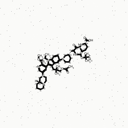 CCn1c(-c2cc(N3CCN4CCCC[C@@H]4C3)cnc2C(C)OC)c(CC(C)(C)COC(C)=O)c2cc(N3CCC[C@@H](CC(NC(=O)OC(C)(C)C)C(=O)N4CCC[C@@H](C(=O)O)N4)C3)ccc21